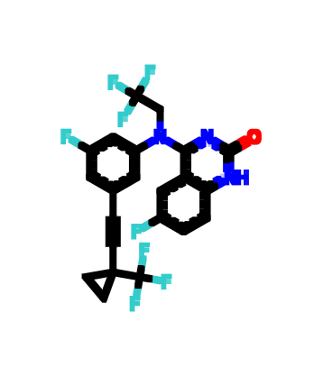 O=c1nc(N(CC(F)(F)F)c2cc(F)cc(C#CC3(C(F)(F)F)CC3)c2)c2cc(F)ccc2[nH]1